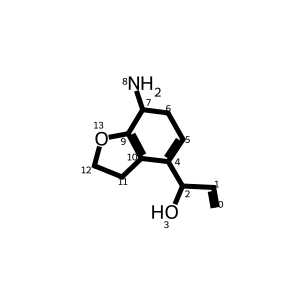 C=CC(O)C1=CCC(N)C2=C1CCO2